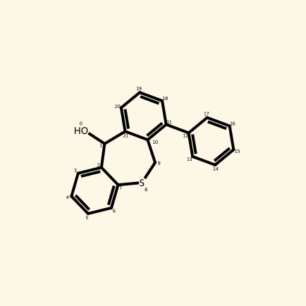 OC1c2ccccc2SCc2c(-c3ccccc3)cccc21